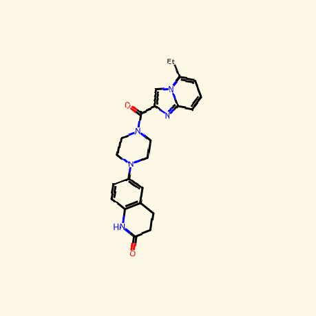 CCc1cccc2nc(C(=O)N3CCN(c4ccc5c(c4)CCC(=O)N5)CC3)cn12